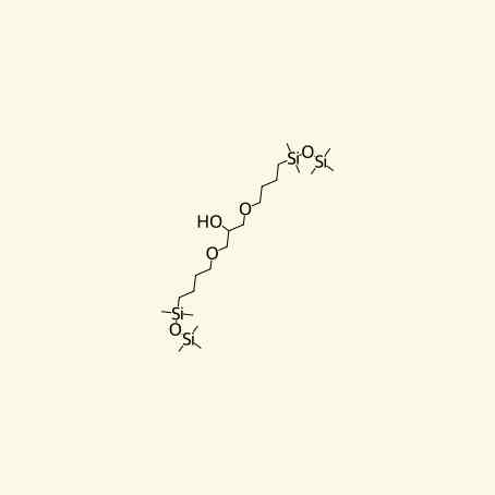 C[Si](C)(C)O[Si](C)(C)CCCCOCC(O)COCCCC[Si](C)(C)O[Si](C)(C)C